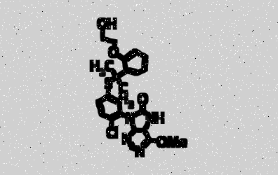 COC1=NC=NC2C1NC(=O)N2c1cc(SC(C)(C)c2ccccc2OCCO)ccc1Cl